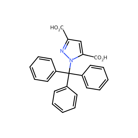 O=C(O)c1cc(C(=O)O)n(C(c2ccccc2)(c2ccccc2)c2ccccc2)n1